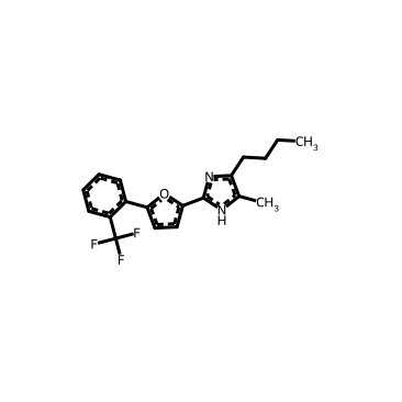 CCCCc1nc(-c2ccc(-c3ccccc3C(F)(F)F)o2)[nH]c1C